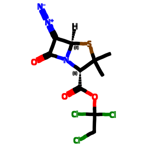 CC1(C)S[C@@H]2C(=[N+]=[N-])C(=O)N2[C@H]1C(=O)OC(Cl)(Cl)CCl